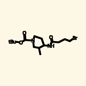 CC1CN(C(=O)OC(C)(C)C)CCC1NC(=O)CCCBr